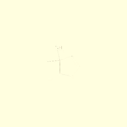 CC1SC=CC1(C)N